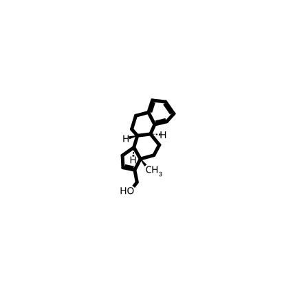 C[C@]12CC[C@@H]3c4ccccc4CC[C@H]3[C@@H]1CC=C2CO